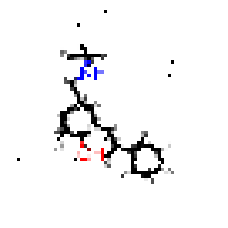 CC(=Cc1cc(CNC(C)(C)C)cc(C)c1O)c1ccccc1